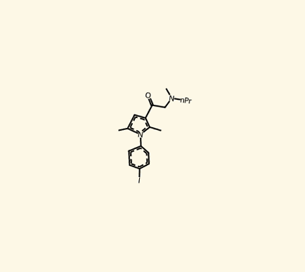 CCCN(C)CC(=O)c1cc(C)n(-c2ccc(I)cc2)c1C